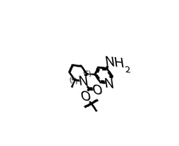 C[C@H]1CCC[C@@H](c2cncc(N)c2)N1C(=O)OC(C)(C)C